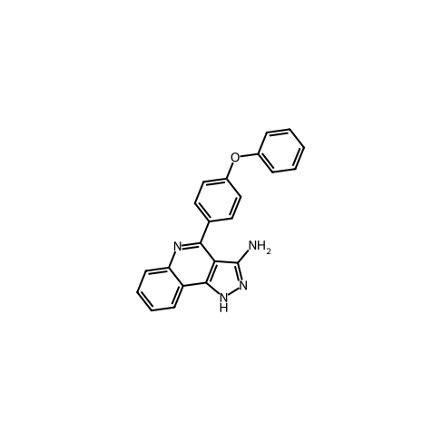 Nc1n[nH]c2c1c(-c1ccc(Oc3ccccc3)cc1)nc1ccccc12